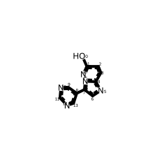 Oc1ccc2ncc(-c3cncnc3)n2n1